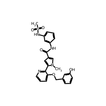 Cn1cc(C(=O)Nc2cccc(NS(C)(=O)=O)c2)cc1-c1ncccc1OCc1cccc(O)c1